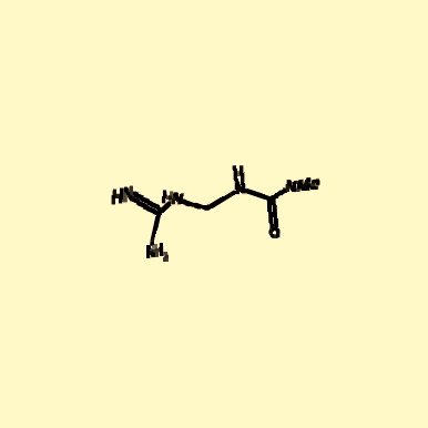 CNC(=O)NCNC(=N)N